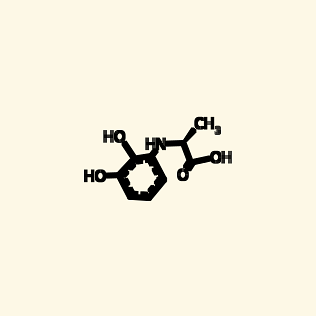 C[C@H](Nc1cccc(O)c1O)C(=O)O